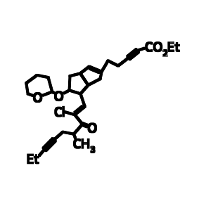 CCC#CCC(C)C(=O)C(Cl)=CC1C(OC2CCCCO2)CC2C=C(CCC#CC(=O)OCC)CC21